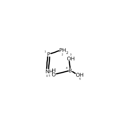 N=PP.OB(O)O